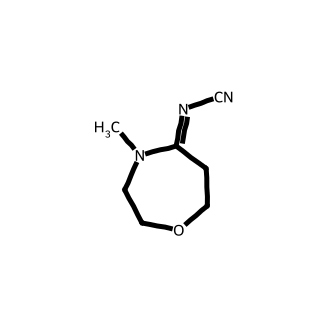 CN1CCOCC/C1=N\C#N